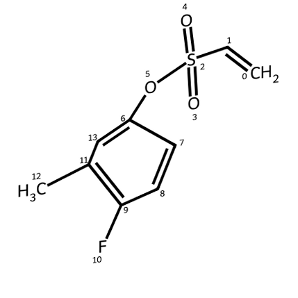 C=CS(=O)(=O)Oc1ccc(F)c(C)c1